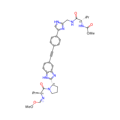 COO/C=N\[C@H](C(=O)N1CCC[C@H]1c1nc2cc(C#Cc3ccc(-c4c[nH]c(CNC(=O)[C@@H](NC(=O)OC)C(C)C)n4)cc3)ccc2[nH]1)C(C)C